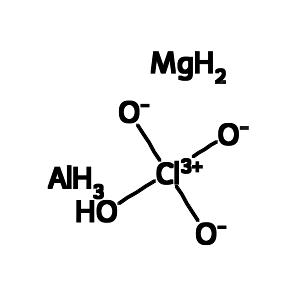 [AlH3].[MgH2].[O-][Cl+3]([O-])([O-])O